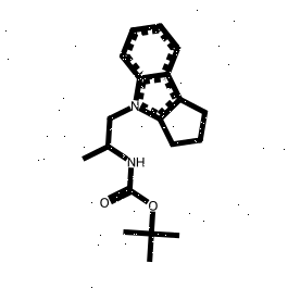 CC(Cn1c2c(c3ccccc31)CCC2)NC(=O)OC(C)(C)C